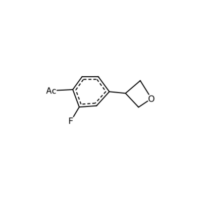 CC(=O)c1ccc(C2COC2)cc1F